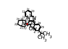 CC(C)c1ccc(-c2nc3ccccn3c2CN2C3CCC2CN(C(=O)O)C3)cc1